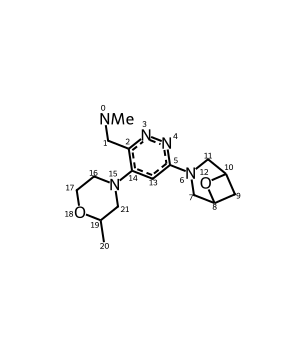 CNCc1nnc(N2CC3CC(C2)O3)cc1N1CCOC(C)C1